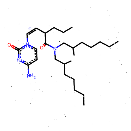 CCCCCC(C)CN(CC(C)CCCCC)C(=O)C(/C=C\n1ccc(N)nc1=O)CCC